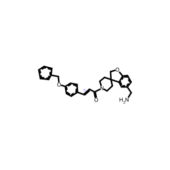 NCc1ccc2c(c1)C1(CCN(C(=O)/C=C/c3ccc(OCc4ccccc4)cc3)CC1)CO2